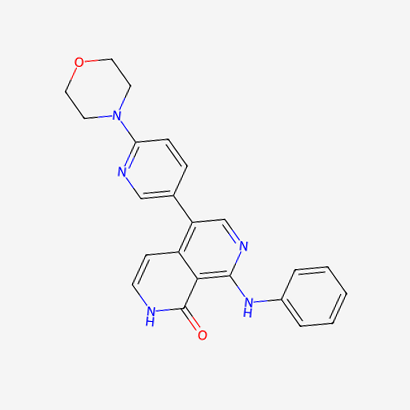 O=c1[nH]ccc2c(-c3ccc(N4CCOCC4)nc3)cnc(Nc3ccccc3)c12